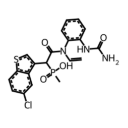 C=CN(C(=O)C(c1csc2ccc(Cl)cc12)P(C)(=O)O)c1ccccc1NC(N)=O